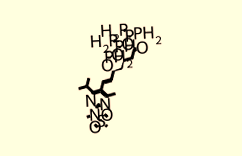 Cc1nc(N(C)S(C)(=O)=O)nc(C(C)C)c1/C=C/[C@H](C[C@H](CC(=O)OP(P)P)OPP)OP